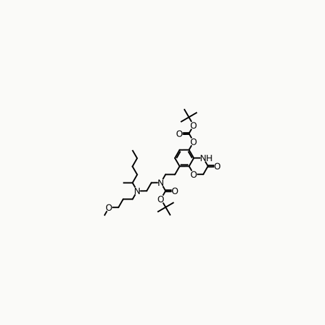 CCCCC(C)N(CCCOC)CCN(CCc1ccc(OC(=O)OC(C)(C)C)c2c1OCC(=O)N2)C(=O)OC(C)(C)C